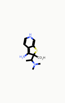 CC(N(C)C)C1(C(=O)O)SC2=CNC=CC2=C1N